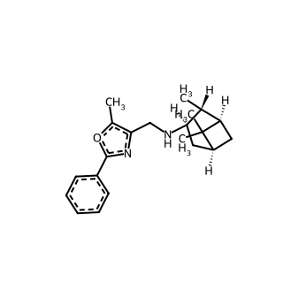 Cc1oc(-c2ccccc2)nc1CN[C@@H]1C[C@@H]2C[C@H]([C@H]1C)C2(C)C